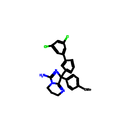 COc1ccc(C2(c3cccc(-c4cc(Cl)cc(Cl)c4)c3)N=C(N)N3CCCN=C32)cc1